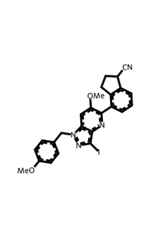 COc1ccc(Cn2nc(I)c3nc(-c4cccc5c4CCC5C#N)c(OC)cc32)cc1